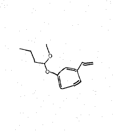 C=Cc1cccc(OC(CCC)OC)c1